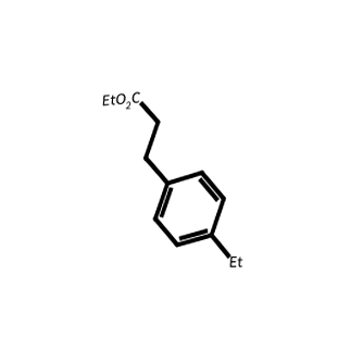 CCOC(=O)CCc1ccc(CC)cc1